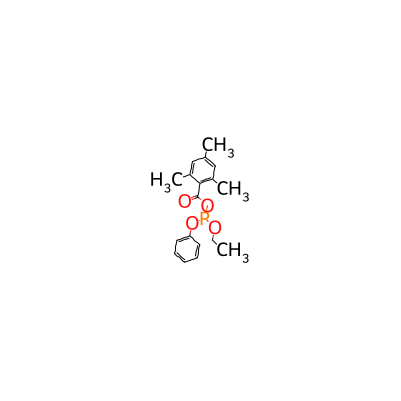 CCOP(OC(=O)c1c(C)cc(C)cc1C)Oc1ccccc1